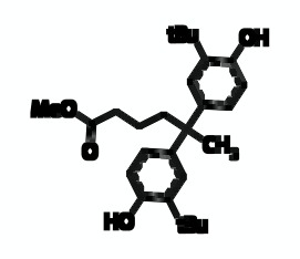 COC(=O)CCCC(C)(c1ccc(O)c(C(C)(C)C)c1)c1ccc(O)c(C(C)(C)C)c1